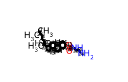 CC(C)CCC[C@@H](C)[C@H]1CCC2[C@@H]3CC=C4C[C@@H](OC(=O)NCCN)CC[C@]4(C)[C@H]3CC[C@@]21C